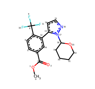 COC(=O)c1ccc(C(F)(F)F)c(-c2ccnn2C2CCCCO2)c1